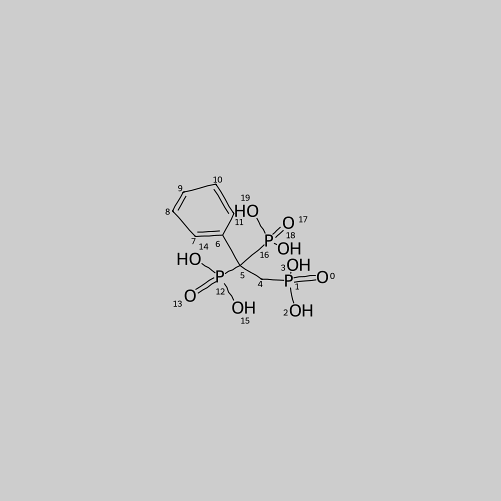 O=P(O)(O)CC(c1ccccc1)(P(=O)(O)O)P(=O)(O)O